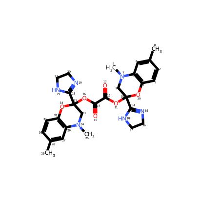 Cc1ccc2c(c1)N(C)CC(OC(=O)C(=O)OC1(C3=NCCN3)CN(C)c3cc(C)ccc3O1)(C1=NCCN1)O2